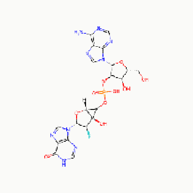 Nc1ncnc2c1ncn2[C@@H]1O[C@H](CO)[C@@H](O)[C@H]1OP(=O)(O)OC1[C@H]2O[C@@H](n3cnc4c(=O)[nH]cnc43)[C@H](F)[C@@]12O